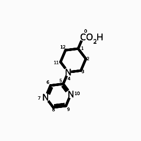 O=C(O)C1CCN(c2cnccn2)CC1